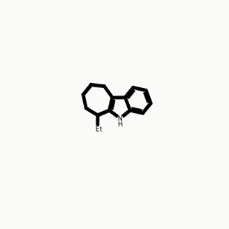 CCC1CCCCc2c1[nH]c1ccccc21